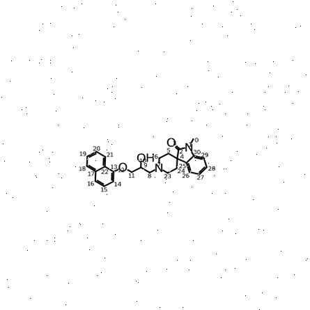 CN1C(=O)C2(CCN(CC(O)COc3cccc4ccccc34)CC2)c2ccccc21